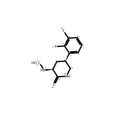 O=C(O)N[C@H]1C[C@@H](c2cccc(F)c2F)CNC1=S